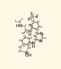 CC(C)NC[C@H](C)Nc1nc(C(F)(F)F)ccc1-c1cc(Nc2cccc3c2C[C@H](O)CC3)ncn1